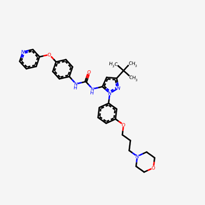 CC(C)(C)c1cc(NC(=O)Nc2ccc(Oc3cccnc3)cc2)n(-c2cccc(OCCCN3CCOCC3)c2)n1